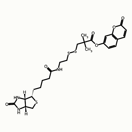 CC(C)(CSSCCNC(=O)CCCC[C@@H]1SC[C@@H]2NC(=O)N[C@@H]21)C(=O)Oc1ccc2ccc(=O)oc2c1